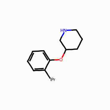 CC(C)c1ccccc1OC1CCCNC1